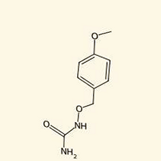 COc1ccc(CONC(N)=O)cc1